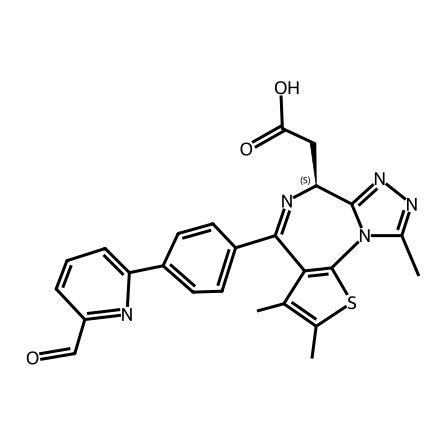 Cc1sc2c(c1C)C(c1ccc(-c3cccc(C=O)n3)cc1)=N[C@@H](CC(=O)O)c1nnc(C)n1-2